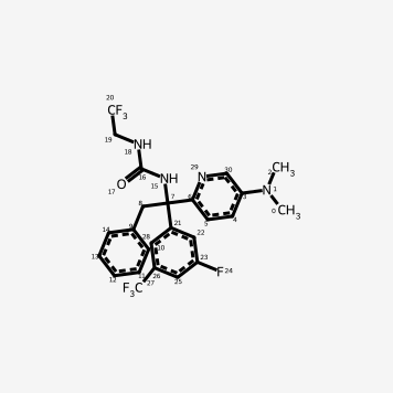 CN(C)c1ccc(C(Cc2ccccc2)(NC(=O)NCC(F)(F)F)c2cc(F)cc(C(F)(F)F)c2)nc1